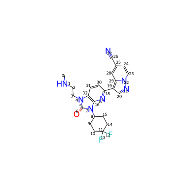 CNCCn1c(=O)n(C2CCC(F)(F)CC2)c2nc(-c3cnn4ccc(C#N)cc34)ccc21